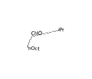 CCCCCCCC/C=C\CCCCCCC([C]=O)CCCCCCCCCCCCCCCC(C)C